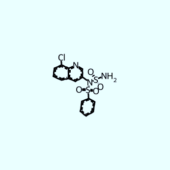 NS(=O)(=O)N(c1cnc2c(Cl)cccc2c1)S(=O)(=O)c1ccccc1